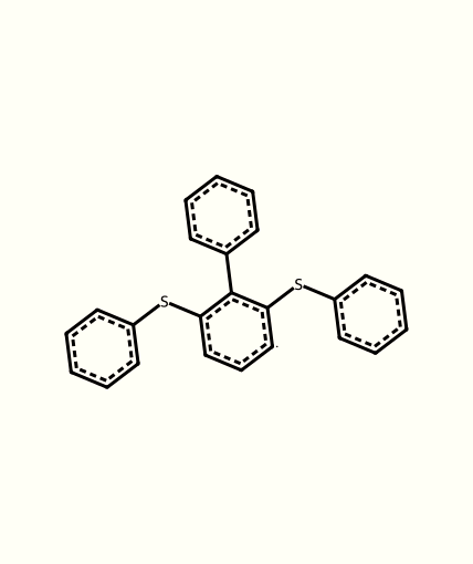 [c]1ccc(Sc2ccccc2)c(-c2ccccc2)c1Sc1ccccc1